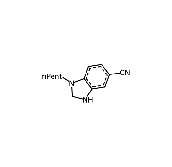 CCCCCN1CNc2cc(C#N)ccc21